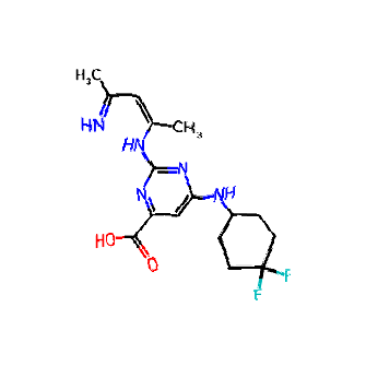 CC(=N)/C=C(/C)Nc1nc(NC2CCC(F)(F)CC2)cc(C(=O)O)n1